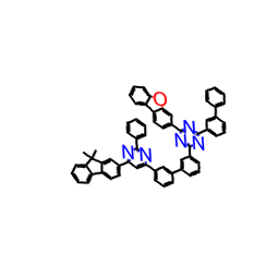 CC1(C)c2ccccc2-c2ccc(-c3cc(-c4cccc(-c5cccc(-c6nc(-c7cccc(-c8ccccc8)c7)nc(-c7ccc8c(c7)oc7ccccc78)n6)c5)c4)nc(-c4ccccc4)n3)cc21